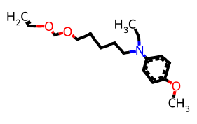 C=COCOCCCCCN(CC)c1ccc(OC)cc1